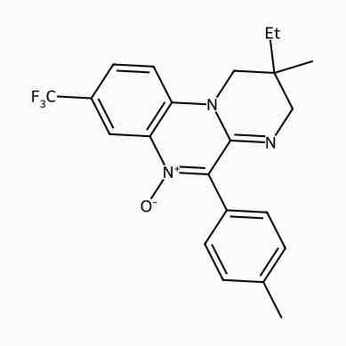 CCC1(C)CN=C2C(c3ccc(C)cc3)=[N+]([O-])c3cc(C(F)(F)F)ccc3N2C1